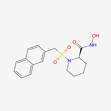 O=C(NO)[C@H]1CCCCN1S(=O)(=O)Cc1ccc2ccccc2c1